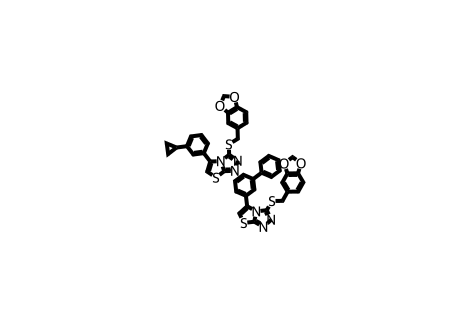 c1cc(-c2csc3nnc(SCc4ccc5c(c4)OCO5)n23)cc(C2CC2)c1.c1ccc(-c2cccc(-c3csc4nnc(SCc5ccc6c(c5)OCO6)n34)c2)cc1